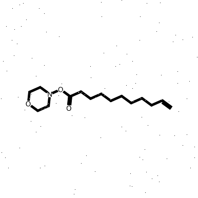 C=CCCCCCCCCC(=O)ON1CCOCC1